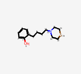 Oc1ccccc1CCCCN1CCSCC1